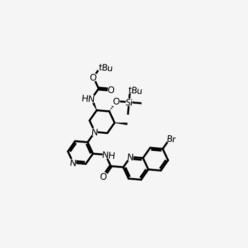 C[C@H]1CN(c2ccncc2NC(=O)c2ccc3ccc(Br)cc3n2)C[C@@H](NC(=O)OC(C)(C)C)[C@@H]1O[Si](C)(C)C(C)(C)C